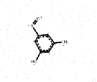 Cc1cc(O)cc(N=O)c1